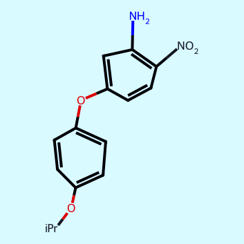 CC(C)Oc1ccc(Oc2ccc([N+](=O)[O-])c(N)c2)cc1